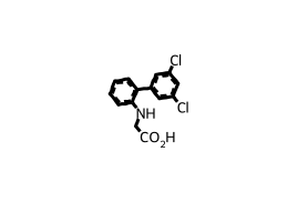 O=C(O)CNc1ccccc1-c1cc(Cl)cc(Cl)c1